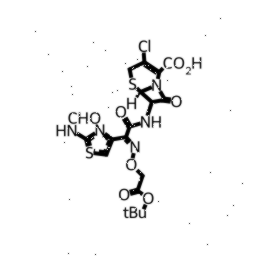 CC(C)(C)OC(=O)CON=C(C(=O)NC1C(=O)N2C(C(=O)O)=C(Cl)CS[C@@H]12)c1csc(NC=O)n1